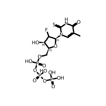 Cc1cn([C@H]2O[C@@H](COP(=O)(O)OP(=O)(O)OP(=O)(O)O)[C@@H](O)C2F)c(=S)[nH]c1=O